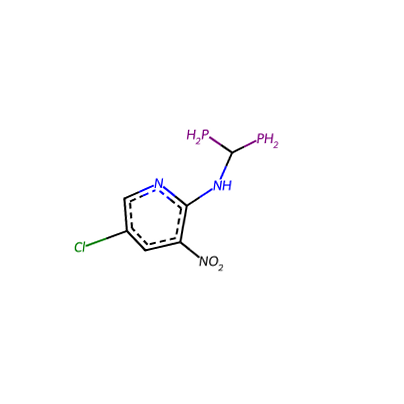 O=[N+]([O-])c1cc(Cl)cnc1NC(P)P